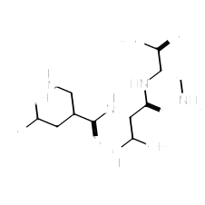 CC(=O)[C@H](CN)NC(=O)[C@@H](NC(=O)C(CN)CC(C)C)C(C)O